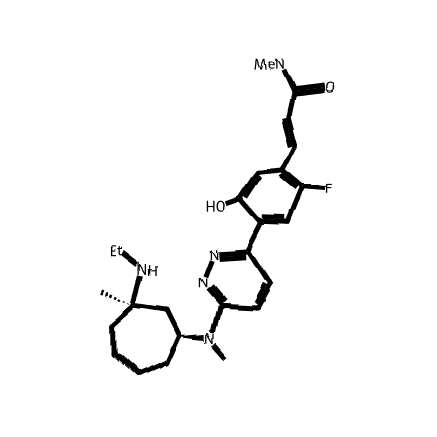 CCN[C@]1(C)CCCC[C@H](N(C)c2ccc(-c3cc(F)c(/C=C/C(=O)NC)cc3O)nn2)C1